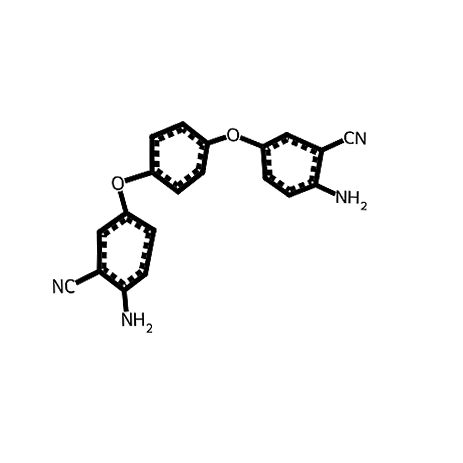 N#Cc1cc(Oc2ccc(Oc3ccc(N)c(C#N)c3)cc2)ccc1N